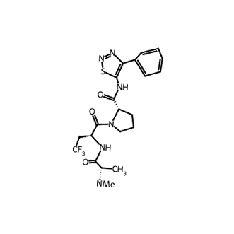 CN[C@@H](C)C(=O)N[C@@H](CC(F)(F)F)C(=O)N1CCC[C@H]1C(=O)Nc1snnc1-c1ccccc1